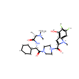 C[C@@H](C(=O)N[C@H](C(=O)N1CCN(C(=O)c2cc3c(O)c(F)c(F)cc3n2C)CC1)C1CCCCC1)N(C)C(=O)O